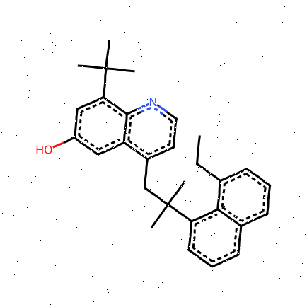 CCc1cccc2cccc(C(C)(C)Cc3ccnc4c(C(C)(C)C)cc(O)cc34)c12